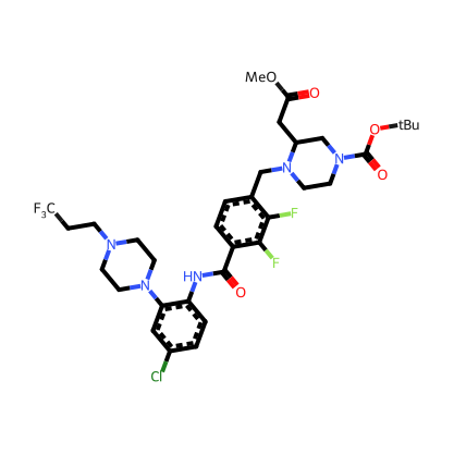 COC(=O)CC1CN(C(=O)OC(C)(C)C)CCN1Cc1ccc(C(=O)Nc2ccc(Cl)cc2N2CCN(CCC(F)(F)F)CC2)c(F)c1F